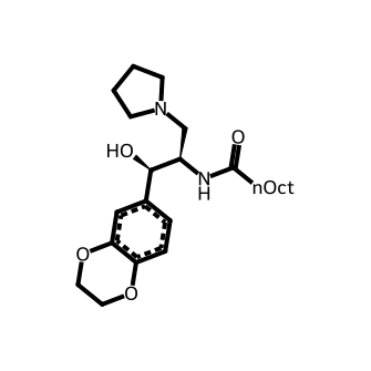 CCCCCCCCC(=O)N[C@H](CN1CCCC1)[C@H](O)c1ccc2c(c1)OCCO2